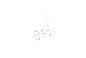 O=S1(=O)NCC2(CCCNC2)N1c1nc(OC[C@@]23CCCN2C[C@H](F)C3)nc2c(F)c(-c3cc(O)cc4ccc(F)c(Cl)c34)c(F)cc12